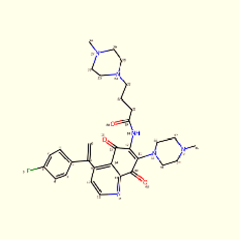 C=C(c1ccc(F)cc1)c1ccnc2c1C(=O)C(NC(=O)CCCN1CCN(C)CC1)=C(N1CCN(C)CC1)C2=O